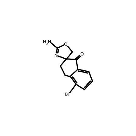 NC1=NC2(CCc3c(Br)cccc3C2=O)CO1